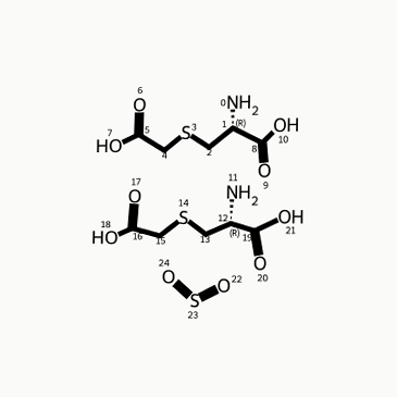 N[C@@H](CSCC(=O)O)C(=O)O.N[C@@H](CSCC(=O)O)C(=O)O.O=S=O